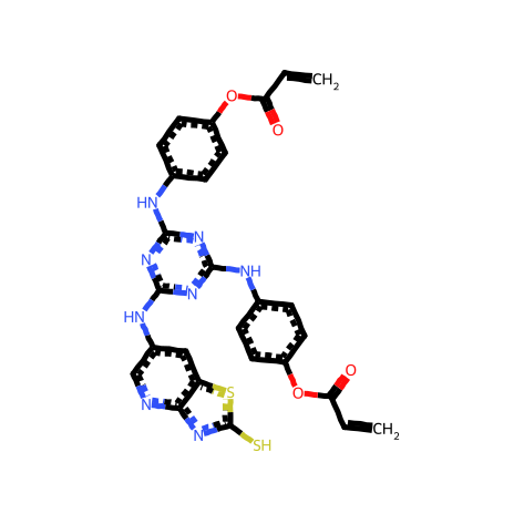 C=CC(=O)Oc1ccc(Nc2nc(Nc3ccc(OC(=O)C=C)cc3)nc(Nc3cnc4nc(S)sc4c3)n2)cc1